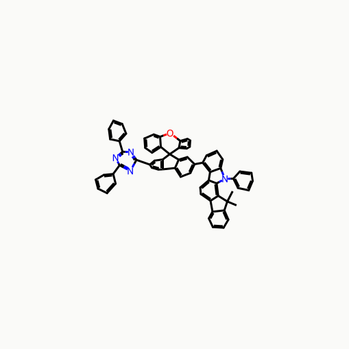 CC1(C)c2ccccc2-c2ccc3c4c(-c5ccc6c(c5)C5(c7ccccc7Oc7ccccc75)c5cc(-c7nc(-c8ccccc8)nc(-c8ccccc8)n7)ccc5-6)cccc4n(-c4ccccc4)c3c21